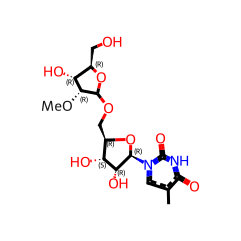 CO[C@H]1C(OC[C@H]2O[C@@H](n3cc(C)c(=O)[nH]c3=O)[C@H](O)[C@@H]2O)O[C@H](CO)[C@H]1O